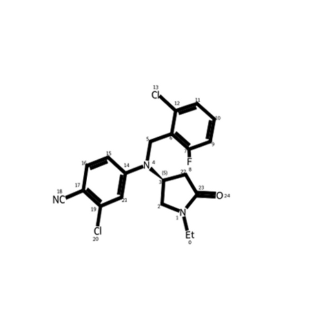 CCN1C[C@@H](N(Cc2c(F)cccc2Cl)c2ccc(C#N)c(Cl)c2)CC1=O